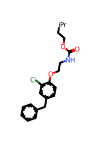 CC(C)CCOC(=O)NCCOc1ccc(Cc2ccccc2)cc1Cl